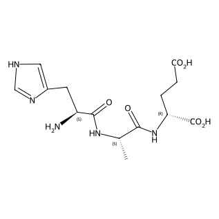 C[C@H](NC(=O)[C@@H](N)Cc1c[nH]cn1)C(=O)N[C@H](CCC(=O)O)C(=O)O